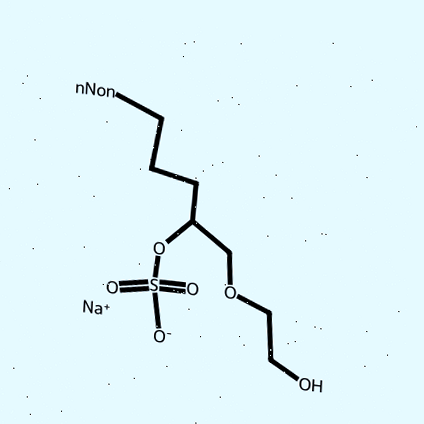 CCCCCCCCCCCCC(COCCO)OS(=O)(=O)[O-].[Na+]